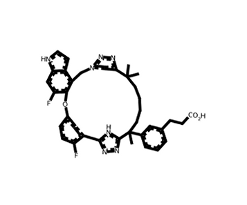 CC1(C)CCCCC(C)(c2cccc(CCC(=O)O)c2)c2nnc([nH]2)-c2cc(ccc2F)Oc2c(F)cc3[nH]ccc3c2Cn2cc1nn2